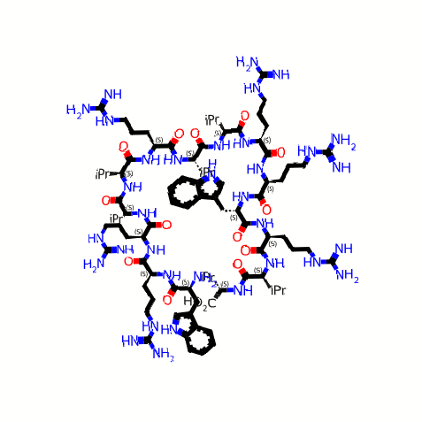 CC(C)[C@H](NC(=O)[C@@H](NC(=O)[C@H](CCCNC(=N)N)NC(=O)[C@H](Cc1c[nH]c2ccccc12)NC(=O)[C@H](CCCNC(=N)N)NC(=O)[C@H](CCCNC(=N)N)NC(=O)[C@@H](NC(=O)[C@@H](NC(=O)[C@H](CCCNC(=N)N)NC(=O)[C@@H](NC(=O)[C@@H](NC(=O)[C@H](CCCNC(=N)N)NC(=O)[C@H](CCCNC(=N)N)NC(=O)[C@@H](N)Cc1c[nH]c2ccccc12)C(C)C)C(C)C)C(C)C)C(C)C)C(C)C)C(=O)O